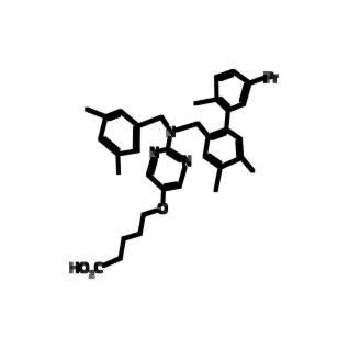 Cc1cc(C)cc(CN(Cc2cc(C)c(C)cc2-c2cc(C(C)C)ccc2C)c2ncc(OCCCCC(=O)O)cn2)c1